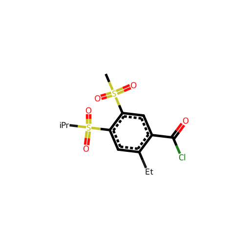 CCc1cc(S(=O)(=O)C(C)C)c(S(C)(=O)=O)cc1C(=O)Cl